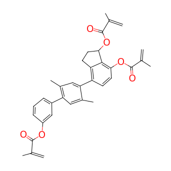 C=C(C)C(=O)Oc1cccc(-c2cc(C)c(-c3ccc(OC(=O)C(=C)C)c4c3CCC4OC(=O)C(=C)C)cc2C)c1